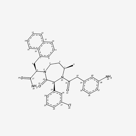 C[C@@H]1CCN([C@H](Cc2cccc3ccccc23)C(N)=O)C(=O)[C@H](c2cccc(Cl)c2)N1C(=O)Cc1cccc(N)c1